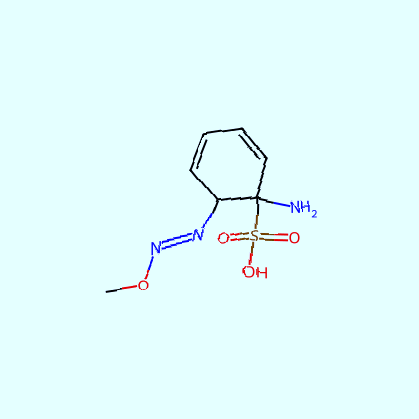 CON=NC1C=CC=CC1(N)S(=O)(=O)O